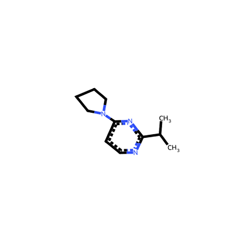 CC(C)c1nccc(N2CCCC2)n1